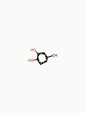 [CH]c1ccc(O)c(O)c1